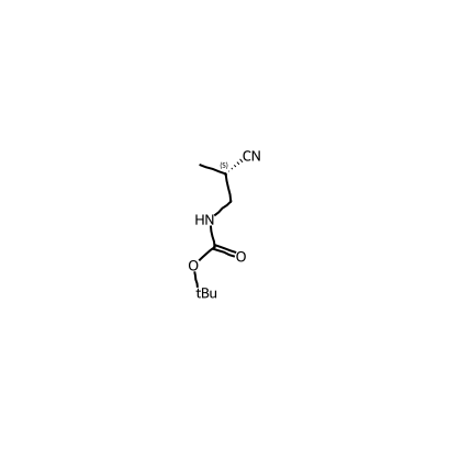 C[C@H](C#N)CNC(=O)OC(C)(C)C